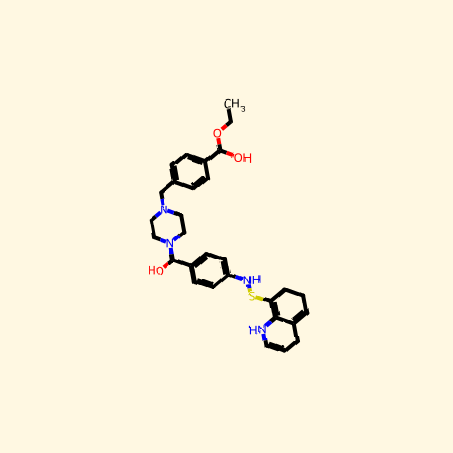 CCOC(O)c1ccc(CN2CCN(C(O)c3ccc(NSC4=C5NC=CCC5=CCC4)cc3)CC2)cc1